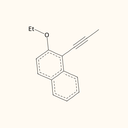 CC#Cc1c(OCC)ccc2ccccc12